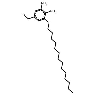 CCCCCCCCCCCCCCOc1cc(C[O])cc(N)c1N